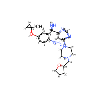 CC1(Oc2ccc(N)c(C(=N)c3cc(N4CCN(CC5CCCO5)CC4)ncn3)c2)CC1